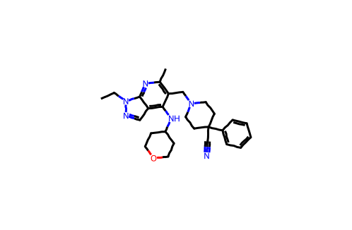 CCn1ncc2c(NC3CCOCC3)c(CN3CCC(C#N)(c4ccccc4)CC3)c(C)nc21